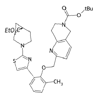 CCOC(=O)[C@@]12CCN(c3nc(-c4cccc(C)c4OCc4ccc5c(n4)CCN(C(=O)OC(C)(C)C)C5)cs3)CC1C2